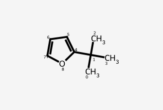 CC(C)(C)c1cc[c]o1